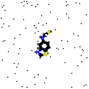 S=C=Nc1ccc2scnc2c1